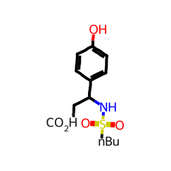 CCCCS(=O)(=O)NC(CC(=O)O)c1ccc(O)cc1